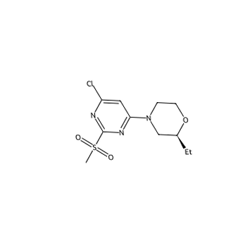 CC[C@H]1CN(c2cc(Cl)nc(S(C)(=O)=O)n2)CCO1